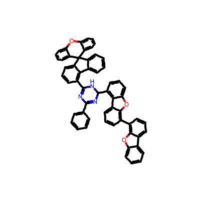 c1ccc(C2=NC(c3cccc4oc5c(-c6cccc7c6oc6ccccc67)cccc5c34)NC(c3cccc4c3-c3ccccc3C43c4ccccc4Oc4ccccc43)=N2)cc1